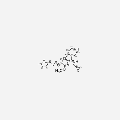 COc1cc2c(NCC3CC3)c3c(nc2cc1OCCCN1CCCC1)CCNCC3